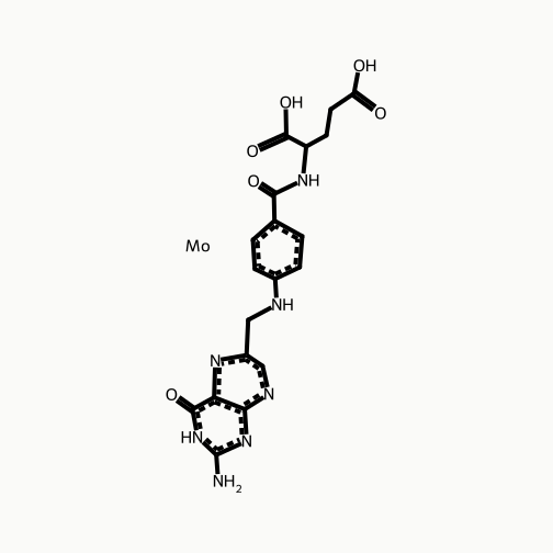 Nc1nc2ncc(CNc3ccc(C(=O)NC(CCC(=O)O)C(=O)O)cc3)nc2c(=O)[nH]1.[Mo]